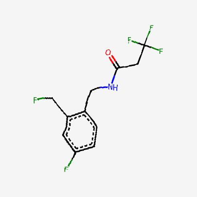 O=C(CC(F)(F)F)NCc1ccc(F)cc1CF